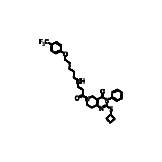 O=C(CCNCCCCCOc1ccc(C(F)(F)F)cc1)N1CCc2nc(SC3CCC3)n(-c3ccccc3)c(=O)c2C1